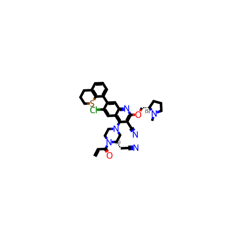 C=CC(=O)N1CCN(c2c(C#N)c(OC[C@@H]3CCCN3C)nc3cc(-c4cccc5c4SCCC5)c(Cl)cc23)C[C@@H]1CC#N